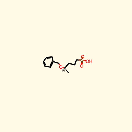 C[C@H](CCCS(=O)(=O)O)OCc1ccccc1